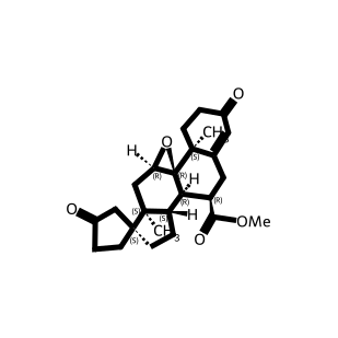 COC(=O)[C@@H]1CC2=CC(=O)CC[C@]2(C)[C@@]23O[C@@H]2C[C@@]2(C)[C@@H](CC[C@@]24CCC(=O)C4)[C@H]13